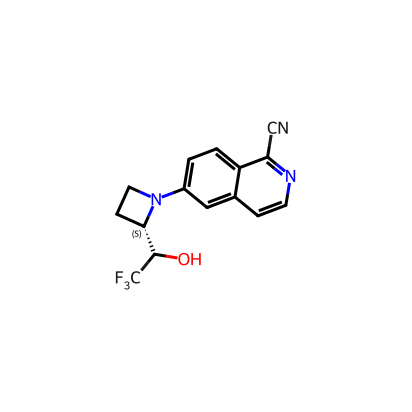 N#Cc1nccc2cc(N3CC[C@H]3C(O)C(F)(F)F)ccc12